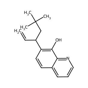 C=CC(CC(C)(C)C)c1ccc2cccnc2c1O